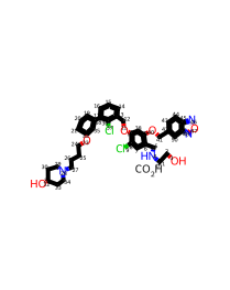 O=C(O)[C@@H](CO)NCc1cc(Cl)c(OCc2cccc(-c3cccc(OCCCCN4CCC(O)CC4)c3)c2Cl)cc1OCc1ccc2nonc2c1